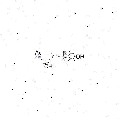 CCC12OC(C)(CCCC(C)CCCC(C)(O)CC/C=C(\C)C(C)=O)CCC1=CC(O)C(C)=C2C